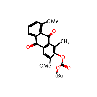 COc1cc2c(c(C)c1OC(=O)OC(C)(C)C)C(=O)c1c(OC)cccc1C2=O